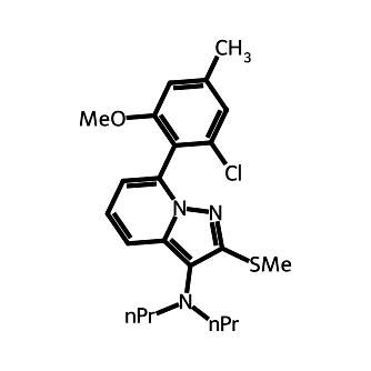 CCCN(CCC)c1c(SC)nn2c(-c3c(Cl)cc(C)cc3OC)cccc12